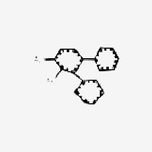 CC(=O)c1ccc(-c2ccccc2)c(-c2ccccc2)c1C(C)=O